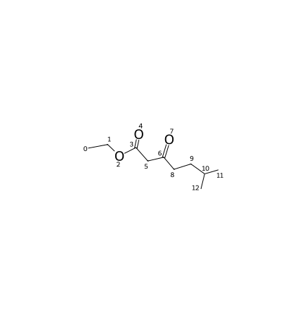 CCOC(=O)CC(=O)CCC(C)C